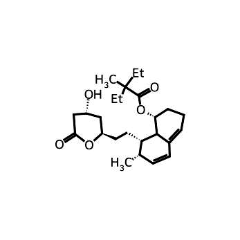 CCC(C)(CC)C(=O)O[C@@H]1CCC=C2C=C[C@H](C)[C@H](CC[C@@H]3C[C@@H](O)CC(=O)O3)C21